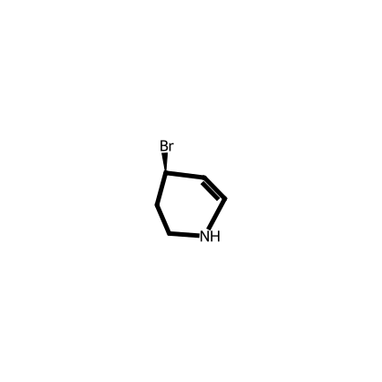 Br[C@H]1C=CNCC1